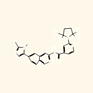 [2H]C1([2H])CCC([2H])([2H])N1c1cc(C(=O)Nc2cc3cc(-c4cnc(C)n4C)ccc3cn2)ccn1